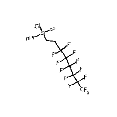 CCC[Si](Cl)(CCC)CCC(F)(F)C(F)(F)C(F)(F)C(F)(F)C(F)(F)C(F)(F)F